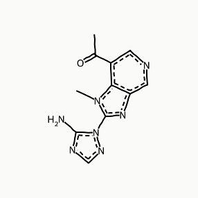 CC(=O)c1cncc2nc(-n3ncnc3N)n(C)c12